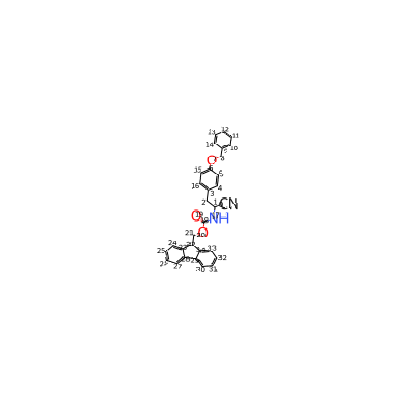 N#CC(Cc1ccc(OCc2ccccc2)cc1)NC(=O)OCC1c2ccccc2-c2ccccc21